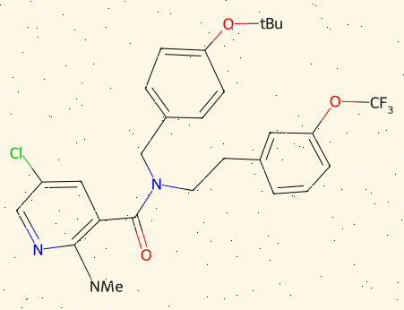 CNc1ncc(Cl)cc1C(=O)N(CCc1cccc(OC(F)(F)F)c1)Cc1ccc(OC(C)(C)C)cc1